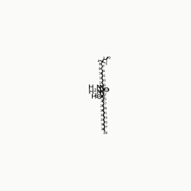 C=CCC(C)(C)CCCCCCCCCCN(N)C(=O)N(N)C[C@H](O)CCCCCCCCCCCCCCC